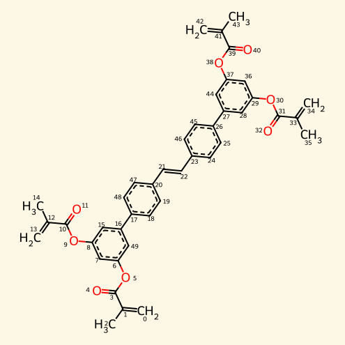 C=C(C)C(=O)Oc1cc(OC(=O)C(=C)C)cc(-c2ccc(/C=C/c3ccc(-c4cc(OC(=O)C(=C)C)cc(OC(=O)C(=C)C)c4)cc3)cc2)c1